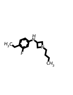 CCCCN1CC(Nc2ccc(CC)c(F)c2)C1